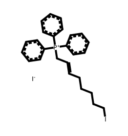 ICCCCCC=CC[P+](c1ccccc1)(c1ccccc1)c1ccccc1.[I-]